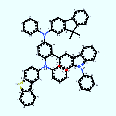 CC1(C)c2ccccc2-c2ccc(N(c3ccccc3)c3ccc(N(c4ccccc4)c4ccc5sc6ccccc6c5c4)c(-c4ccc5c(c4)c4ccccc4n5-c4ccccc4)c3)cc21